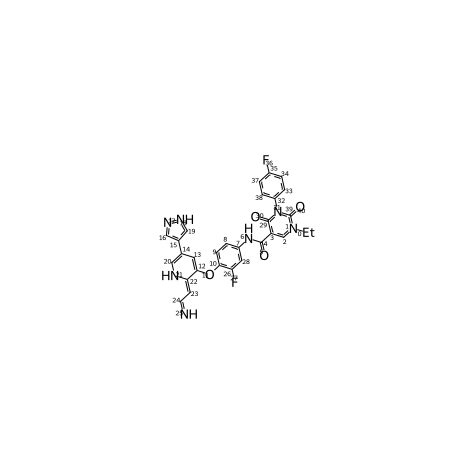 CCn1cc(C(=O)Nc2ccc(OC3=CC(c4cn[nH]c4)=CN/C3=C\C=N)c(F)c2)c(=O)n(-c2ccc(F)cc2)c1=O